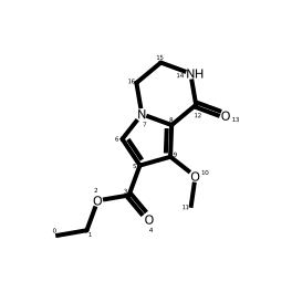 CCOC(=O)c1cn2c(c1OC)C(=O)NCC2